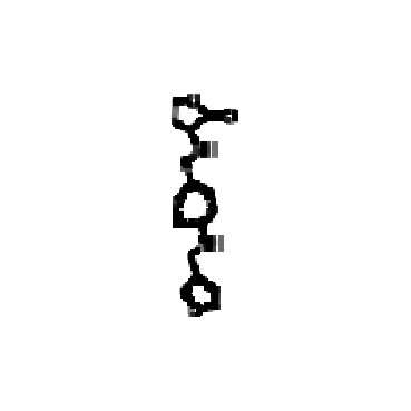 O=C1OCCC1NSc1ccc(NCc2ccoc2)cc1